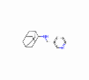 c1cncc(CNC2C3CC4CC(C3)CC2C4)c1